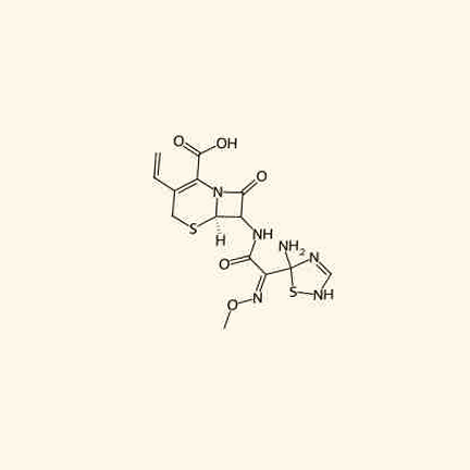 C=CC1=C(C(=O)O)N2C(=O)C(NC(=O)/C(=N\OC)C3(N)N=CNS3)[C@H]2SC1